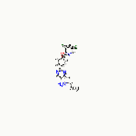 NC(CC(=O)O)Cc1ccnc(-c2ccc(Oc3ncc(Cl)cc3F)cc2)n1